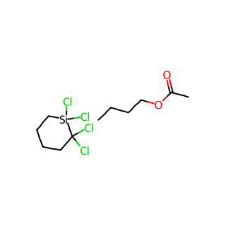 CCCCOC(C)=O.ClC1(Cl)CCCC[Si]1(Cl)Cl